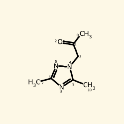 CC(=O)Cn1nc(C)nc1C